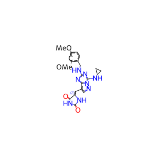 COc1ccc(CNc2nc(NC3CC3)n3ncc(/C=C4\NC(=O)NC4=O)c3n2)c(OC)c1